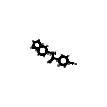 O=C(Nc1ccc2occc2c1)c1ccc(F)cc1